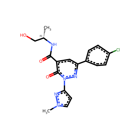 C[C@@H](CO)NC(=O)c1cc(-c2ccc(Cl)cc2)nn(-c2ccn(C)n2)c1=O